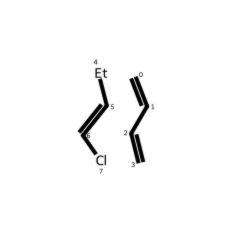 C=CC=C.CC/C=C/Cl